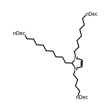 CCCCCCCCCCCCCCCCCCCC1N(CCCCCCCCCCCCCC)C=CN1CCCCCCCCCCCCCCCCC